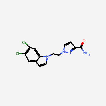 NC(=O)c1[c]cn(CCn2ccc3cc(Cl)c(Cl)cc32)n1